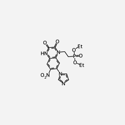 CCOP(=O)(CCn1c(=O)c(=O)[nH]c2cc([N+](=O)[O-])c(-n3ccnc3)cc21)OCC